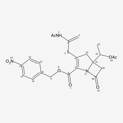 C=C(NC(C)=O)SC1=C(C(=O)OCc2ccc([N+](=O)[O-])cc2)N2C(=O)CC2(C(C)OC(C)=O)C1